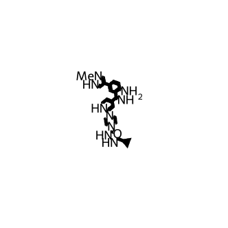 CN/C=C(\C=N)c1ccc(N)c(C(=N)C2=CCNC(N3CCN(C(=N)OC(=N)C4CC4)CC3)=C2)c1